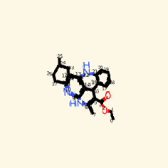 CCOC(=O)C1=C(C)Nc2nc3c(c4c2C1c1ccccc1N4)CC(C)CC3